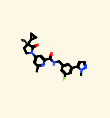 Cc1cc(N2CC[C@@](C#N)(C3CC3)C2=O)cc(C(=O)NCc2cc(F)cc(-c3ccnn3C)c2)n1